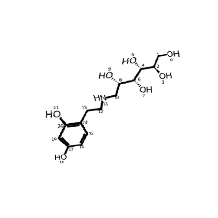 OC[C@@H](O)[C@@H](O)[C@H](O)[C@@H](O)CNCCc1ccc(O)cc1O